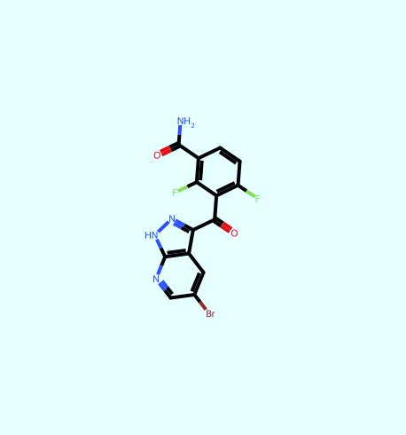 NC(=O)c1ccc(F)c(C(=O)c2n[nH]c3ncc(Br)cc23)c1F